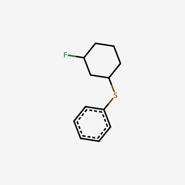 FC1CCCC(Sc2ccccc2)C1